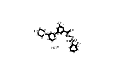 Cc1cc(C(=O)NNS(=O)(=O)c2ccccc2F)cc(-c2cc(N3CCNCC3)ccn2)c1.Cl